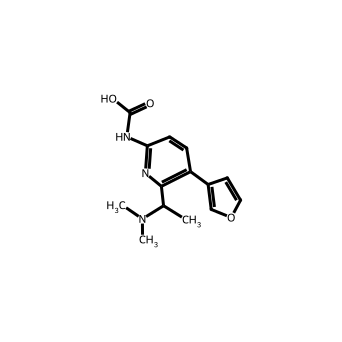 CC(c1nc(NC(=O)O)ccc1-c1ccoc1)N(C)C